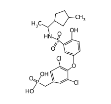 CC1CCC(C(C)NS(=O)(=O)c2cc(Oc3c(Cl)cc(CP(=O)(O)O)cc3Cl)ccc2O)C1